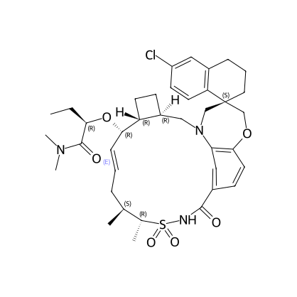 CC[C@@H](O[C@H]1/C=C/C[C@H](C)[C@@H](C)S(=O)(=O)NC(=O)c2ccc3c(c2)N(C[C@@H]2CC[C@H]21)C[C@@]1(CCCc2cc(Cl)ccc21)CO3)C(=O)N(C)C